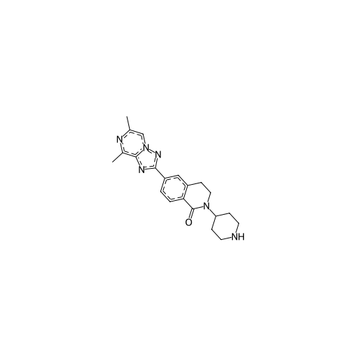 Cc1cn2nc(-c3ccc4c(c3)CCN(C3CCNCC3)C4=O)nc2c(C)n1